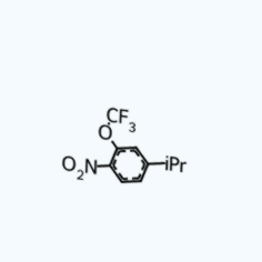 [CH2]C(C)c1ccc([N+](=O)[O-])c(OC(F)(F)F)c1